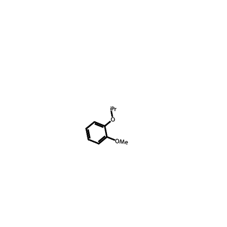 [CH2]Oc1ccccc1OC(C)C